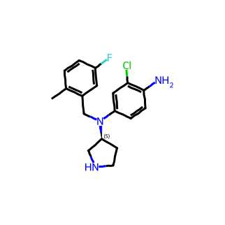 Cc1ccc(F)cc1CN(c1ccc(N)c(Cl)c1)[C@H]1CCNC1